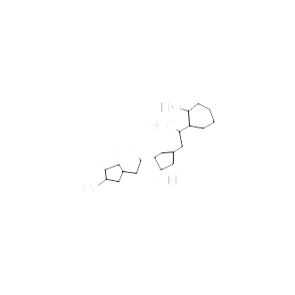 CC(C)C1CC(CC(C)[C@@H]2CC(CC(C)C3CCCCC3O)C[C@@H]2O)C[C@@H]1O